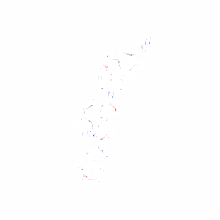 Cc1ccc(C(=O)N2CCC3(CC2)OCc2cc(C#N)ccc23)cc1NC(=O)N(C)CC1CCOC1